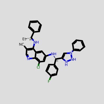 CC[C@@H](Nc1c(C#N)cnc2c(Cl)cc(N[C@H](C3=CN(c4ccccc4)NN3)c3ccc(F)cc3)cc12)c1ccccc1